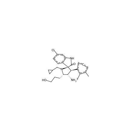 Cc1cccc([C@H]2[C@H](N)[C@H](CCCO)N(CC3CC3)[C@@]23C(=O)Nc2cc(Cl)ccc23)c1F